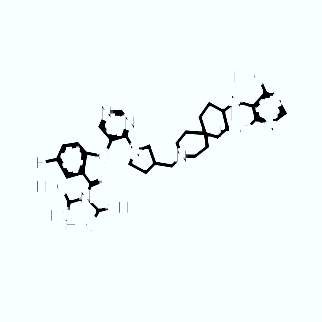 Cc1ncnc(C)c1NC1CCC2(CC1)CCN(CC1CCN(c3ncncc3Oc3ccc(F)cc3C(=O)N(C(C)C)C(C)C)C1)CC2